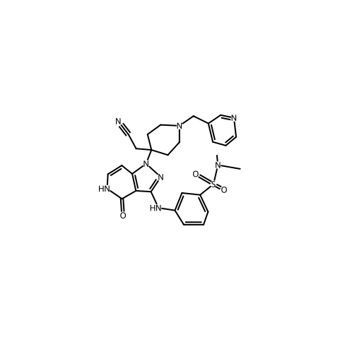 CN(C)S(=O)(=O)c1cccc(Nc2nn(C3(CC#N)CCN(Cc4cccnc4)CC3)c3cc[nH]c(=O)c23)c1